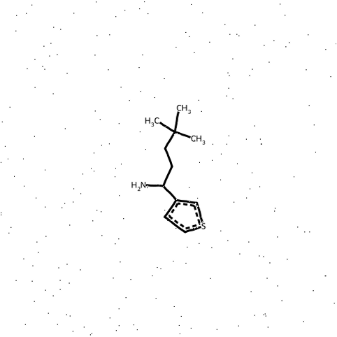 CC(C)(C)CCC(N)c1ccsc1